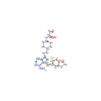 Nc1ncnc2c1nc(Sc1cc3c(cc1Br)CCO3)n2CCC1CCN(C[C@H](O)C=O)CC1